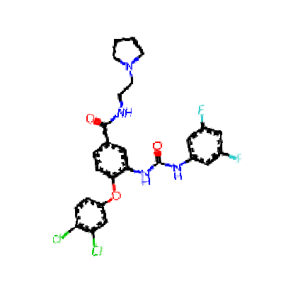 O=C(Nc1cc(F)cc(F)c1)Nc1cc(C(=O)NCCN2CCCC2)ccc1Oc1ccc(Cl)c(Cl)c1